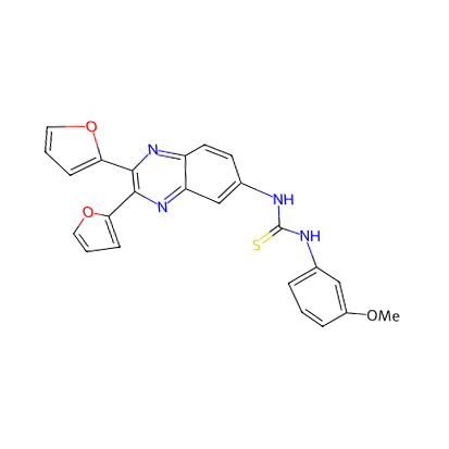 COc1cccc(NC(=S)Nc2ccc3nc(-c4ccco4)c(-c4ccco4)nc3c2)c1